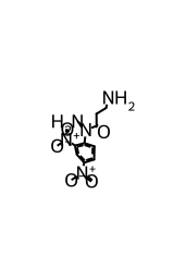 NCCC(=O)N(N)c1ccc([N+](=O)[O-])cc1[N+](=O)[O-]